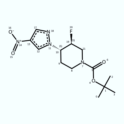 CC(C)(C)OC(=O)N1CC[C@H](n2cc([N+](=O)[O-])cn2)[C@@H](F)C1